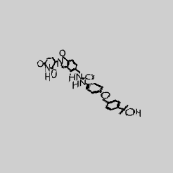 CC(C)(O)c1ccc(COc2ccc(NC(=O)NCc3ccc4c(c3)CN(C3CCC(=O)NC3=O)C4=O)cc2)cc1